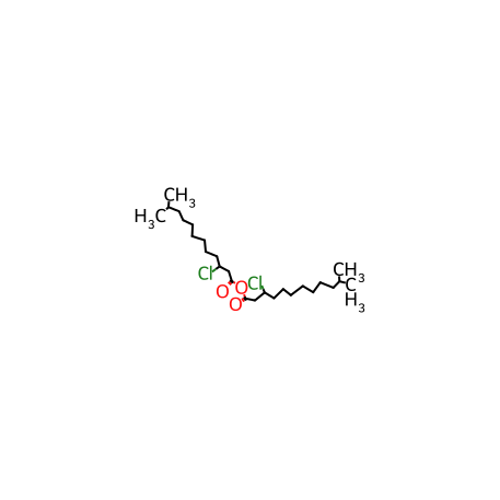 CC(C)CCCCCCCC(Cl)CC(=O)OC(=O)CC(Cl)CCCCCCCC(C)C